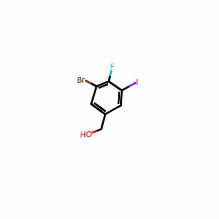 OCc1cc(Br)c(F)c(I)c1